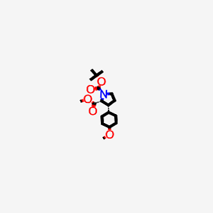 COC(=O)[C@H]1[C@@H](C2CCC(OC)CC2)CCN1C(=O)OC(C)(C)C